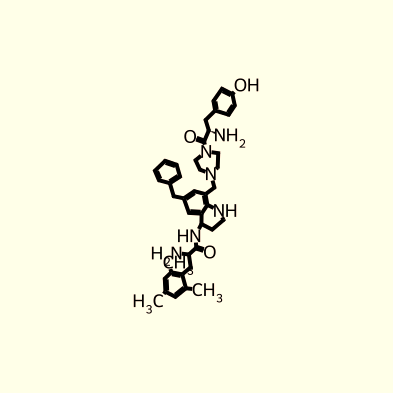 Cc1cc(C)c(CC(N)C(=O)NC2CCNc3c(CN4CCN(C(=O)[C@@H](N)Cc5ccc(O)cc5)CC4)cc(Cc4ccccc4)cc32)c(C)c1